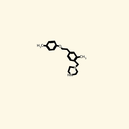 Cc1ccc(OCCc2ccc(CN3CCNCC3)c(C)c2)cc1